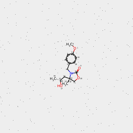 COc1ccc(CN2C(=O)OC[C@]2(C)C[C@@H](C)O)cc1